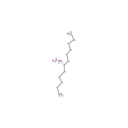 CCCCCCCCCCCC.P.P